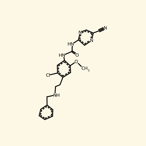 COc1cc(CCNCc2ccccc2)c(Cl)cc1NC(=O)Nc1cnc(C#N)cn1